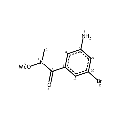 CON(C)C(=O)c1cc(N)cc(Br)c1